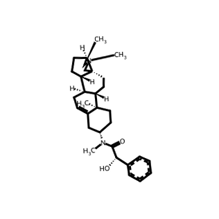 C[C@H]1[C@H]2CC[C@H]3[C@@H]4CC=C5C[C@@H](N(C)C(=O)[C@@H](O)c6ccccc6)CC[C@]5(C)[C@H]4CC[C@]23CN1C